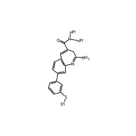 CCCN(CCC)C(=O)C1=Cc2ccc(-c3cccc(SCC)c3)cc2N=C(N)C1